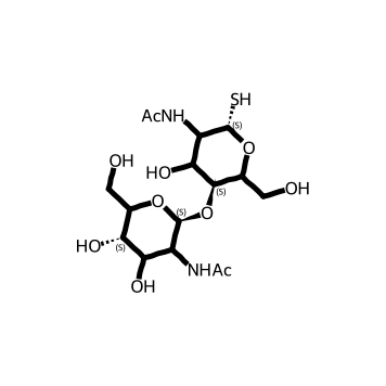 CC(=O)NC1C(O)[C@H](O)C(CO)O[C@H]1O[C@@H]1C(CO)O[C@@H](S)C(NC(C)=O)C1O